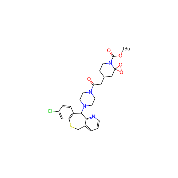 CC(C)(C)OC(=O)N1CCC(CC(=O)N2CCN(C3c4ccc(Cl)cc4SCc4cccnc43)CC2)CC12OO2